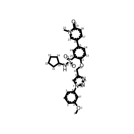 COc1cccc(-n2cc(COc3ccc(-c4ccc(=O)n(C)c4)cc3S(=O)(=O)NC3CCCC3)nn2)c1